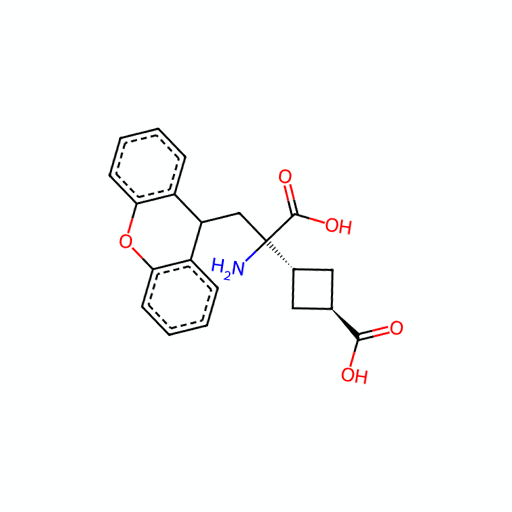 NC(CC1c2ccccc2Oc2ccccc21)(C(=O)O)[C@H]1C[C@H](C(=O)O)C1